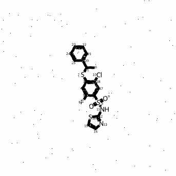 CC(Sc1cc(F)c(S(=O)(=O)Nc2nccs2)cc1Cl)c1ccccc1